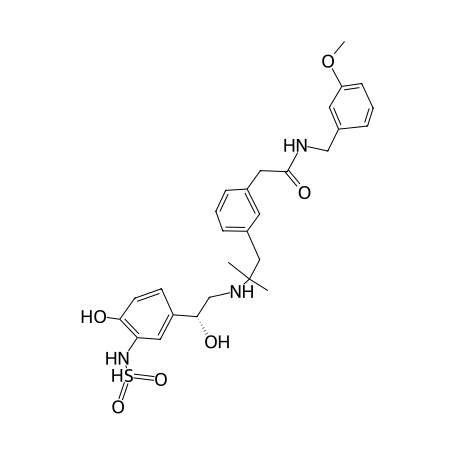 COc1cccc(CNC(=O)Cc2cccc(CC(C)(C)NC[C@H](O)c3ccc(O)c(N[SH](=O)=O)c3)c2)c1